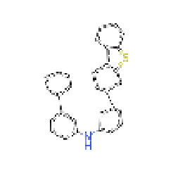 c1ccc(-c2cccc(Nc3cccc(-c4ccc5c(c4)sc4ccccc45)c3)c2)cc1